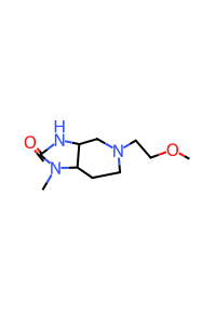 COCCN1CCC2C(C1)NC(=O)N2C